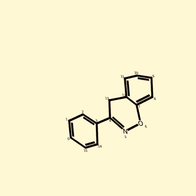 c1ccc(C2=NOc3ccccc3C2)cc1